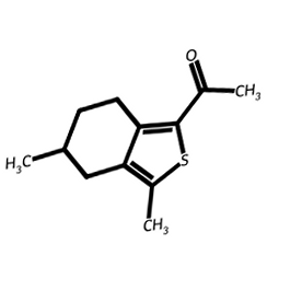 CC(=O)c1sc(C)c2c1CCC(C)C2